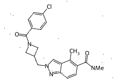 CNC(=O)c1ccc2nn(CC3CN(C(=O)c4ccc(Cl)cc4)C3)cc2c1C